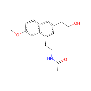 COc1ccc2cc(CCO)cc(CCNC(C)=O)c2c1